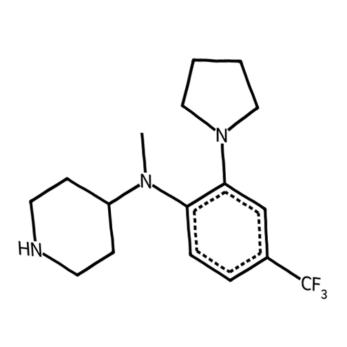 CN(c1ccc(C(F)(F)F)cc1N1CCCC1)C1CCNCC1